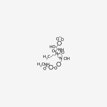 CCCCN1C(=O)[C@@H]([C@H](O)c2ccc3c(c2)OCCO3)NC(=O)C12CCN(Cc1ccc(Oc3ccc(C(=O)NC)cc3)cc1)CC2.Cl